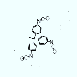 CC(c1ccc(N=C=O)cc1)(c1ccc(N=C=O)cc1)c1ccc(N=C=O)cc1